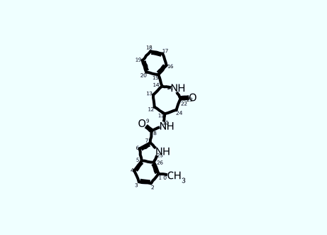 Cc1cccc2cc(C(=O)NC3CCC(c4ccccc4)NC(=O)C3)[nH]c12